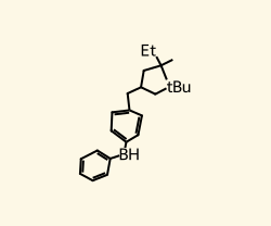 CCC(C)(C)CC(Cc1ccc(Bc2ccccc2)cc1)CC(C)(C)C